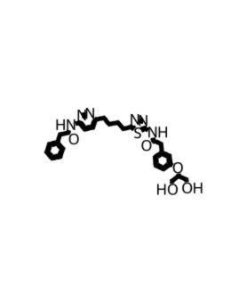 O=C(Cc1ccccc1)Nc1ccc(CCCCc2nnc(NC(=O)Cc3cccc(OC(CO)CO)c3)s2)nn1